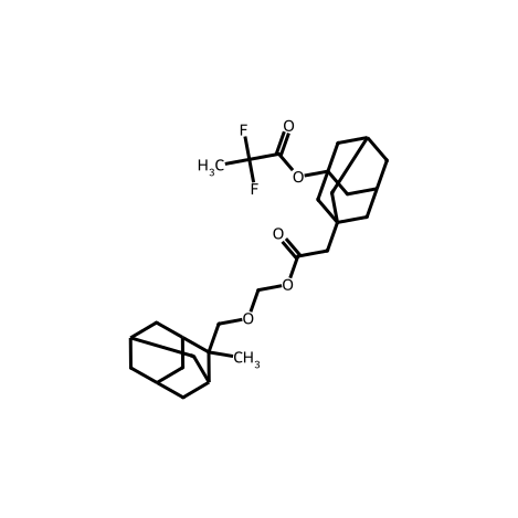 CC(F)(F)C(=O)OC12CC3CC(CC(CC(=O)OCOCC4(C)C5CC6CC(C5)CC4C6)(C3)C1)C2